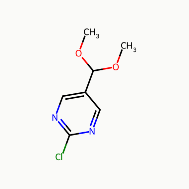 COC(OC)c1cnc(Cl)nc1